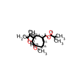 C=C1O[C@H]2[C@@H](CC/C(COC(=O)C(C)C)=C\CC[C@@]3(C)O[C@@H]23)C1=C